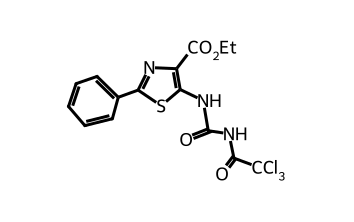 CCOC(=O)c1nc(-c2ccccc2)sc1NC(=O)NC(=O)C(Cl)(Cl)Cl